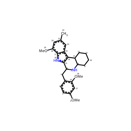 COc1ccc(CC2NC3CCCCC3c3c2[nH]c2c(OC)cc(C)cc32)c(OC)c1